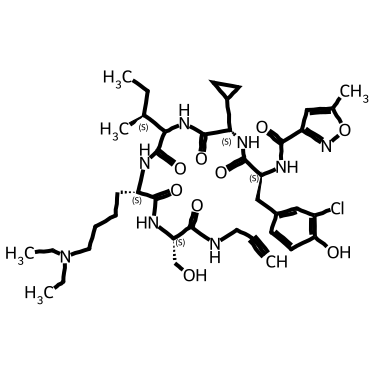 C#CCNC(=O)[C@H](CO)NC(=O)[C@H](CCCCN(CC)CC)NC(=O)C(NC(=O)[C@@H](NC(=O)[C@H](Cc1ccc(O)c(Cl)c1)NC(=O)c1cc(C)on1)C1CC1)[C@@H](C)CC